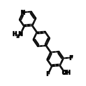 Nc1cnccc1-c1ccc(-c2cc(F)c(O)c(F)c2)cc1